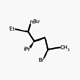 CCCCC(CC)[C@@H](CC(C)Br)C(C)C